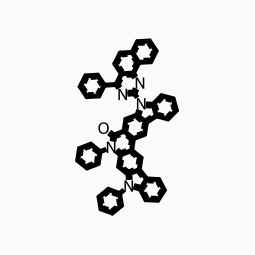 O=c1c2cc3c(cc2c2cc4c5ccccc5n(-c5ccccc5)c4cc2n1-c1ccccc1)c1ccccc1n3-c1nc(-c2ccccc2)c2ccc3ccccc3c2n1